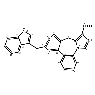 CCOC(=O)c1ncn2c1Cc1cnc(Cc3c[nH]c4ccccc34)nc1-c1ccccc1-2